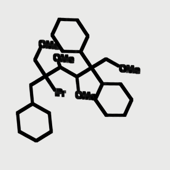 COCC(CC1CCCCC1)(C(C)C)C(OC)C(OC)C(COC)(C1CCCCC1)C1CCCCC1